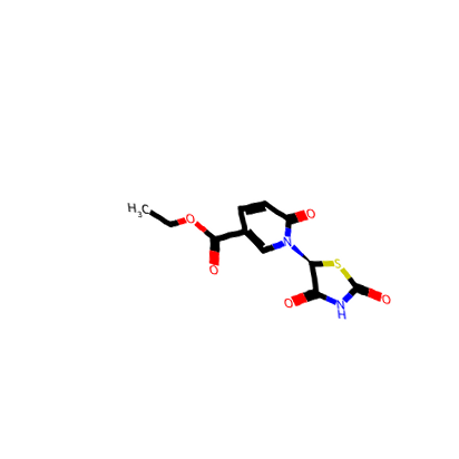 CCOC(=O)c1ccc(=O)n([C@H]2SC(=O)NC2=O)c1